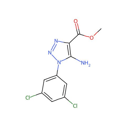 COC(=O)c1nnn(-c2cc(Cl)cc(Cl)c2)c1N